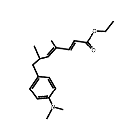 CCOC(=O)/C=C/C(C)=C/C(C)Cc1ccc(N(C)C)cc1